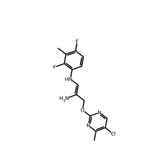 Cc1nc(OC/C(N)=C/Nc2ccc(F)c(C)c2F)ncc1Cl